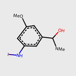 CNC(O)c1cc(NI)cc(OC)c1